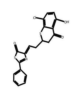 O=C1SC(c2ccccc2)=NC1=CCC1CC(=O)c2c(O)ccc(Cl)c2S1